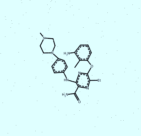 CCc1nc(C(N)=O)c(Nc2ccc(N3CCN(C)CC3)cc2)nc1Oc1cccc(N)c1C